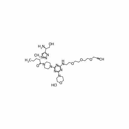 C#CCOCCOCCOCCNc1nc(N2CCOCC2)nc(N2CCN(C(=O)[C@H]([C@@H](C)CC)n3cc([C@@H](N)CO)nn3)CC2)n1.Cl